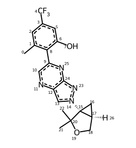 Cc1cc(C(F)(F)F)cc(O)c1-c1cnc2cn([C@]34C[C@H]3COC4(C)C)nc2n1